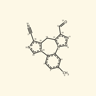 Cc1ccc2c(c1)-n1nnc(C=O)c1Cc1c(C#N)ncn1-2